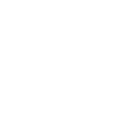 CC1CC(c2ccccc2)(c2ccccc2)Cc2c1ccc1c2ccc2ccccc21